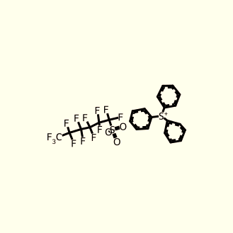 O=S(=O)([O-])C(F)(F)C(F)(F)C(F)(F)C(F)(F)C(F)(F)C(F)(F)F.c1ccc([S+](c2ccccc2)c2ccccc2)cc1